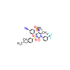 [C-]#[N+]C1=C(C)N(c2cccc(C(F)(F)F)c2)C(=O)N(S(=O)(=O)c2ccc(CC(C)C)cc2)[C@@H]1c1ccc(C#N)cc1S(C)(=O)=O